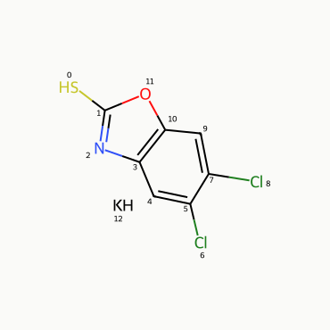 Sc1nc2cc(Cl)c(Cl)cc2o1.[KH]